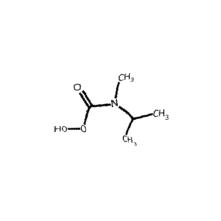 CC(C)N(C)C(=O)OO